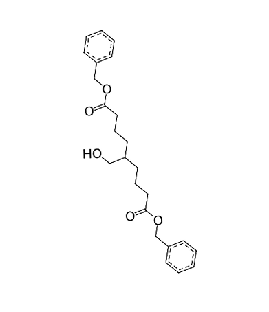 O=C(CCCC(CO)CCCC(=O)OCc1ccccc1)OCc1ccccc1